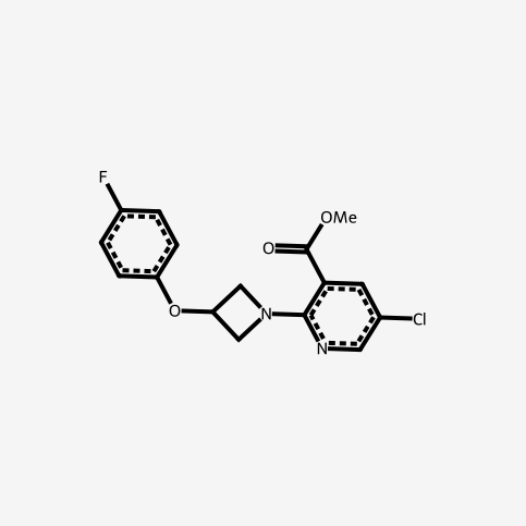 COC(=O)c1cc(Cl)cnc1N1CC(Oc2ccc(F)cc2)C1